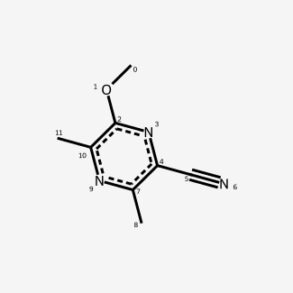 COc1nc(C#N)c(C)nc1C